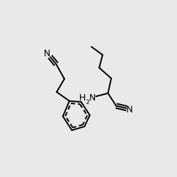 CCCCC(N)C#N.N#CCCc1ccccc1